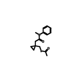 CC(=O)SCC1(CC(=O)N(C)c2ccccc2)CC1